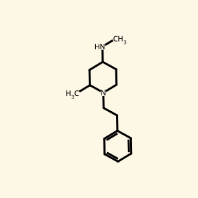 CNC1CCN(CCc2ccccc2)C(C)C1